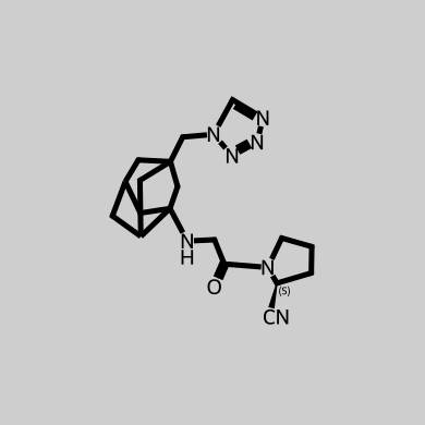 N#C[C@@H]1CCCN1C(=O)CNC12CC3CC1CC(Cn1cnnn1)(C3)C2